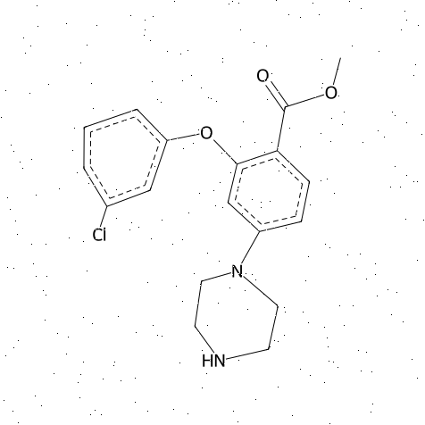 COC(=O)c1ccc(N2CCNCC2)cc1Oc1cccc(Cl)c1